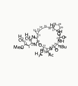 C=C/C(=C\c1nc2c(nc1C)C1CC1CCC[C@@H]1CCC[C@H]1OC(=O)N[C@@H](C(C)(C)C)C(=O)N1C[C@H](O2)[C@@H](C)[C@H]1C(C)=O)OC